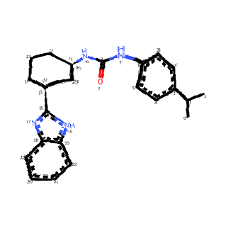 CC(C)c1ccc(NC(=O)N[C@@H]2CCC[C@H](c3nc4ccccc4[nH]3)C2)cc1